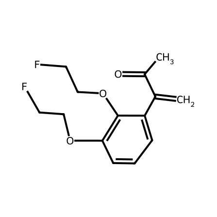 C=C(C(C)=O)c1cccc(OCCF)c1OCCF